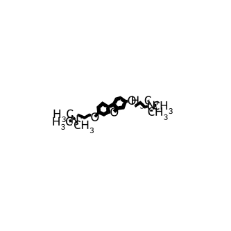 C[N+](C)(C)CCCOc1ccc2c(c1)oc1cc(OCCC[N+](C)(C)C)ccc12